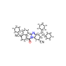 N#Cc1cc2c(nc3c4ccc(-c5ccccc5)c5c(C#N)ccc(c(=O)n23)c54)c2c1C(c1ccccc1)C2c1ccccc1